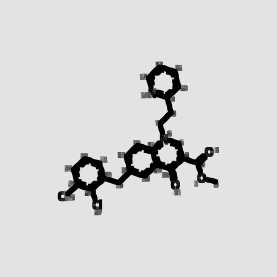 COC(=O)c1cn(CCc2ccccn2)c2ccc(Cc3cccc(Cl)c3Cl)cc2c1=O